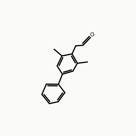 Cc1cc(-c2ccccc2)cc(C)c1CC=O